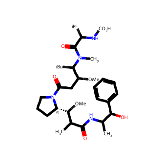 CCC(C)C(C(CC(=O)N1CCC[C@H]1C(OC)C(C)C(=O)NC(C)C(O)c1ccccc1)OC)N(C)C(=O)C(NC(=O)O)C(C)C